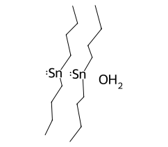 CCC[CH2][Sn][CH2]CCC.CCC[CH2][Sn][CH2]CCC.O